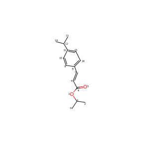 CC(C)OC(=O)C=Cc1ccc(C(C)C)cc1